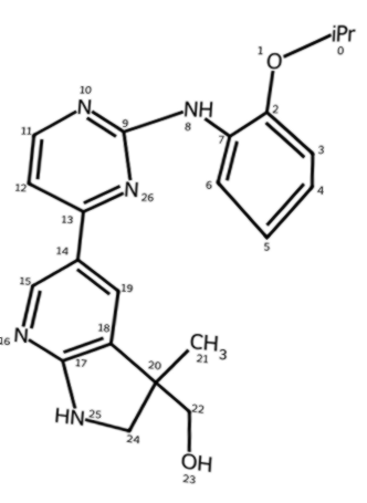 CC(C)Oc1ccccc1Nc1nccc(-c2cnc3c(c2)C(C)(CO)CN3)n1